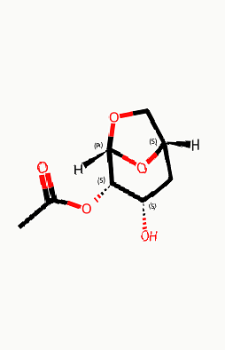 CC(=O)O[C@@H]1[C@@H]2OC[C@H](C[C@@H]1O)O2